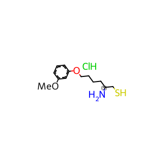 COc1cccc(OCCCC[C@H](N)CS)c1.Cl